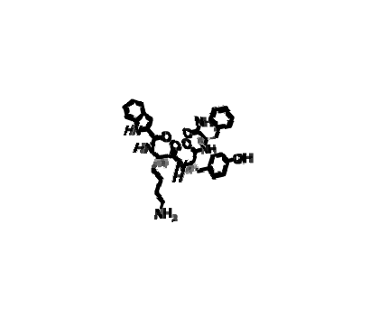 NCCCC[C@H](NC(=O)c1cc2ccccc2[nH]1)C(=O)N[C@@H](Cc1ccc(O)cc1)C(=O)N[C@@H](Cc1ccccc1)C(N)=O